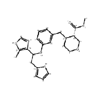 COC(=O)[C@@H]1COCCN1Cc1cccc(OC(Cc2cccs2)c2ncoc2C)c1